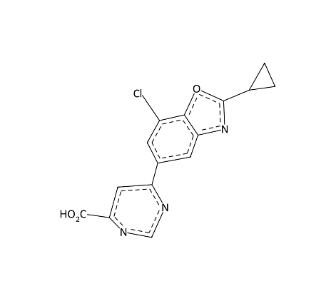 O=C(O)c1cc(-c2cc(Cl)c3oc(C4CC4)nc3c2)ncn1